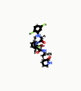 C[C@@H](Nc1cc(F)ccc1F)C(=O)N1[C@@H]2CC[C@H]([C@@H]1C(=O)N[C@H](C#N)C[C@H]1CCCNC1=O)C(F)(F)C2